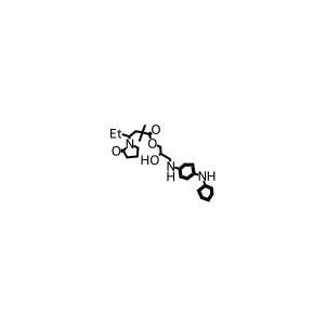 CCC(CC(C)(C)C(=O)OCC(O)CNc1ccc(Nc2ccccc2)cc1)N1CCCC1=O